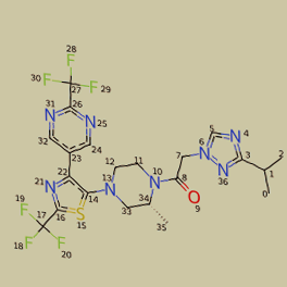 CC(C)c1ncn(CC(=O)N2CCN(c3sc(C(F)(F)F)nc3-c3cnc(C(F)(F)F)nc3)C[C@H]2C)n1